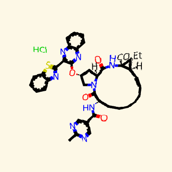 CCOC(=O)[C@@]12C[C@H]1/C=C\CCCCC[C@H](NC(=O)c1cnc(C)nc1)C(=O)N1C[C@H](Oc3nc4ccccc4nc3-c3nc4ccccc4s3)C[C@H]1C(=O)N2.Cl